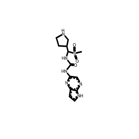 CS(=O)(=O)C(NC(=O)Nc1cnc2[nH]ccc2n1)C1CCNC1